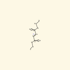 CCCC(=O)/C=C/C(=O)CCC